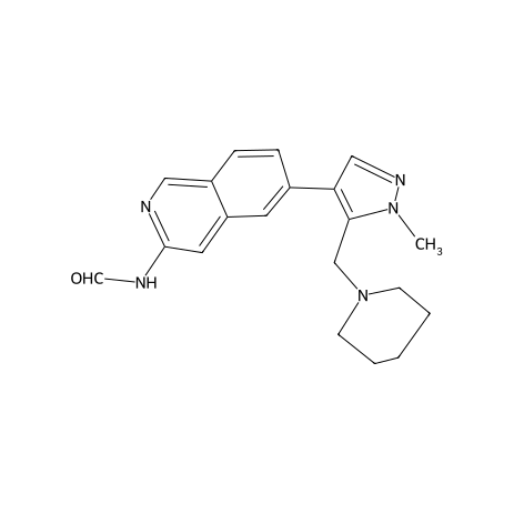 Cn1ncc(-c2ccc3cnc(NC=O)cc3c2)c1CN1CCCCC1